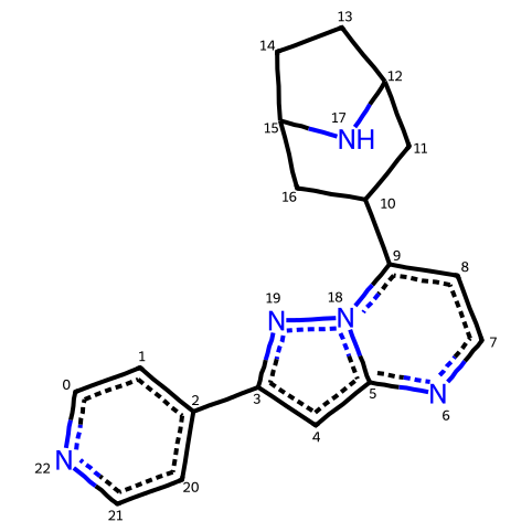 c1cc(-c2cc3nccc(C4CC5CCC(C4)N5)n3n2)ccn1